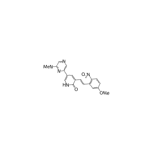 CNc1cncc(-c2c[nH]c(=O)c(/C=C/c3cc(OC)ccc3[N+](=O)[O-])c2)n1